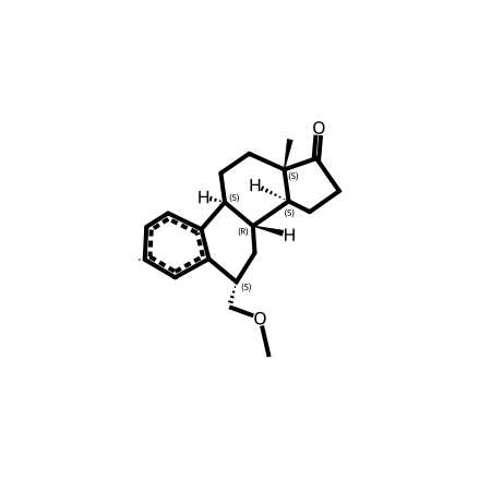 COC[C@H]1C[C@@H]2[C@H](CC[C@]3(C)C(=O)CC[C@@H]23)c2cc[c]cc21